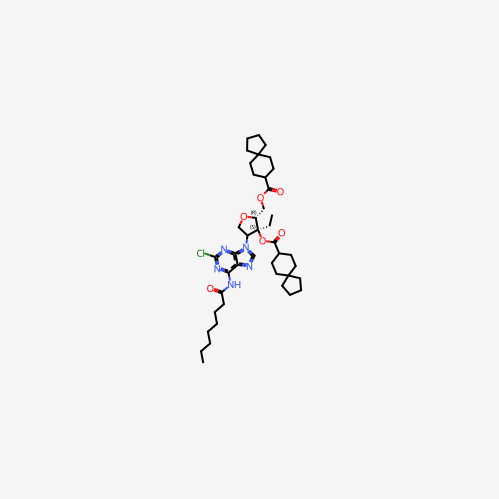 CCCCCCCC(=O)Nc1nc(Cl)nc2c1ncn2C1CO[C@H](COC(=O)C2CCC3(CCCC3)CC2)[C@@]1(CC)OC(=O)C1CCC2(CCCC2)CC1